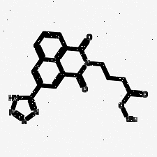 CC(C)(C)OC(=O)CCCN1C(=O)c2cccc3cc(-c4nnn[nH]4)cc(c23)C1=O